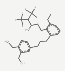 CCc1cccc(CCCc2ccc(CO)c(CO)c2)c1CCC(O)C(C(F)(F)F)C(F)(F)F